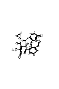 O=C1c2c(O)c(=O)ccn2N(C2c3ccccc3CSc3c(Cl)cccc32)CN1C1CC1